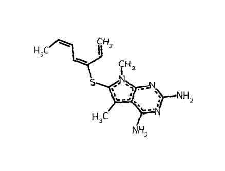 C=C/C(=C\C=C/C)Sc1c(C)c2c(N)nc(N)nc2n1C